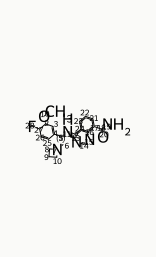 COC1C=C([C@@H](CN2CCC2)Nc2ncnc3c(C(N)=O)cccc23)C=CC1F